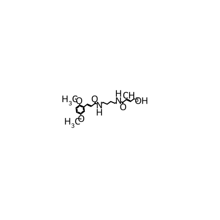 COc1ccc(OC)c(/C=C/C(=O)NCCCCNC(=O)/C(C)=C/CO)c1